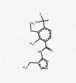 CCn1nnnc1NC(=O)c1ccc(C(F)(F)F)c(SC)c1C